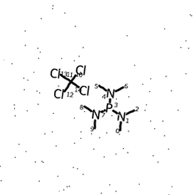 CN(C)P(N(C)C)N(C)C.ClC(Cl)(Cl)Cl